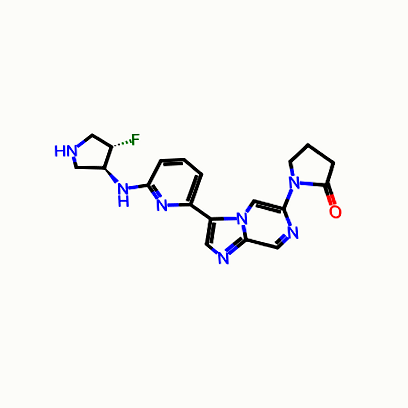 O=C1CCCN1c1cn2c(-c3cccc(N[C@H]4CNC[C@@H]4F)n3)cnc2cn1